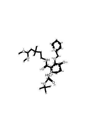 COC(CC(C)(C)CCNC(=O)c1c(OCc2ccccc2)c(=O)ccn1NC(=O)OC(C)(C)C)OC